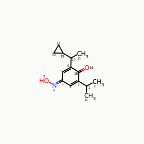 CC(C)C1=CC(=NO)C=C(C(C)C2CC2)C1=O